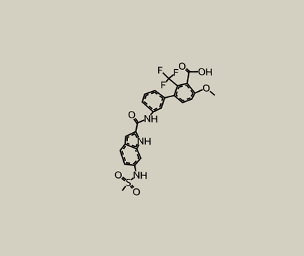 COc1ccc(-c2cccc(NC(=O)c3cc4ccc(NS(C)(=O)=O)cc4[nH]3)c2)c(C(F)(F)F)c1C(=O)O